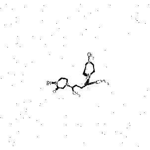 CC(CCC(C)N1CCN(C(C)C)C(=O)C1)N1CCN(C)CC1